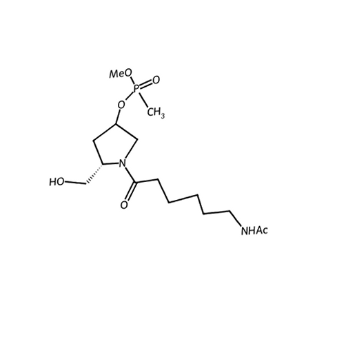 COP(C)(=O)OC1C[C@@H](CO)N(C(=O)CCCCCNC(C)=O)C1